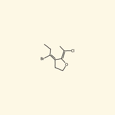 CC/C(Br)=C1/CCO/C1=C(/C)Cl